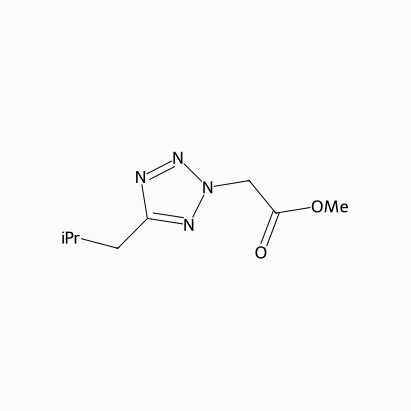 COC(=O)Cn1nnc(CC(C)C)n1